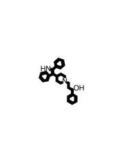 OC(CCN1CCC(c2c(-c3ccccc3)[nH]c3ccccc23)CC1)c1ccccc1